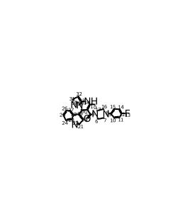 CC1=C(C(=O)N2CCN(c3ccc(F)cc3)CC2)C(c2ccnc3ccccc23)n2nccc2N1